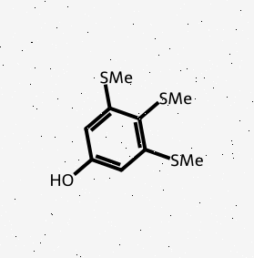 CSc1cc(O)cc(SC)c1SC